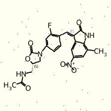 CC(=O)NC[C@H]1CN(c2ccc(/C=C3/C(=O)Nc4c(C)cc([N+](=O)[O-])cc43)c(F)c2)C(=O)O1